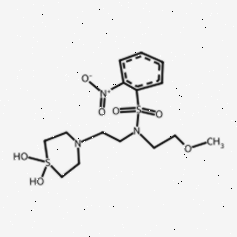 COCCN(CCN1CCS(O)(O)CC1)S(=O)(=O)c1ccccc1[N+](=O)[O-]